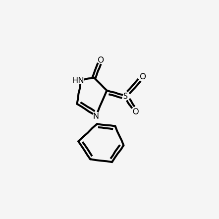 O=C1NC=NC1=S(=O)=O.c1ccccc1